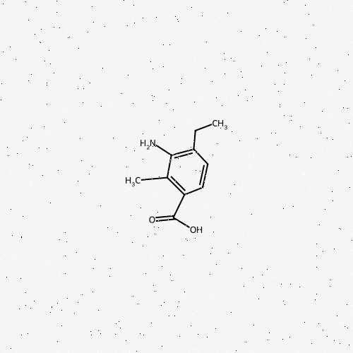 CCc1ccc(C(=O)O)c(C)c1N